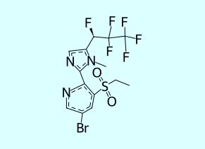 CCS(=O)(=O)c1cc(Br)cnc1-c1ncc([C@@H](F)C(F)(F)C(F)(F)F)n1C